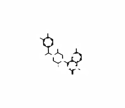 CCC1CN(c2nc(=O)n(C)c3ccc(C#N)nc23)[C@@H](C)CN1C(CC)c1ccc(F)c(F)c1